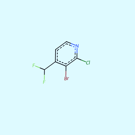 FC(F)c1ccnc(Cl)c1Br